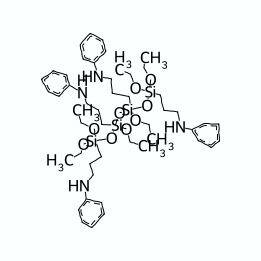 CCO[Si](CCCNc1ccccc1)(OCC)O[Si](CCCNc1ccccc1)(OCC)O[Si](CCCNc1ccccc1)(OCC)O[Si](CCCNc1ccccc1)(OCC)OCC